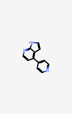 c1cc(-c2ccnc3[nH]ccc23)ccn1